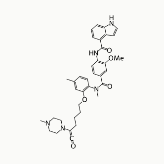 COc1cc(C(=O)N(C)c2ccc(C)cc2OCCCCC(=C=O)N2CCN(C)CC2)ccc1NC(=O)c1cccc2[nH]ccc12